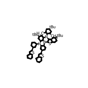 Cc1cc(C(C)(C)C)cc(C)c1N1c2cc(C(C)(C)C)cc3c2B(c2ccc(-c4cc5ccccc5s4)cc2N3c2cccc(-c3cc4ccccc4s3)c2)c2sc3ccc(C(C)(C)C)cc3c21